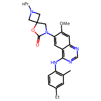 CCCN1CC2(C1)CN(c1cc3c(Nc4ccc(CC)cc4C)ncnc3cc1OC)C(=O)O2